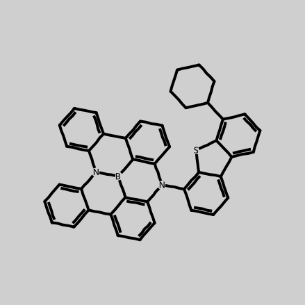 c1ccc2c(c1)-c1cccc3c1B1c4c(cccc4N3c3cccc4c3sc3c(C5CCCCC5)cccc34)-c3ccccc3N12